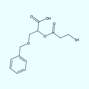 O=C(CCS)OC(COCc1ccccc1)C(=O)O